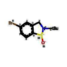 CC(C)(C)N1Cc2cc(Br)ccc2[S+]1[O-]